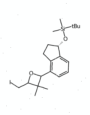 CC1(C)C(CI)OC1c1cccc2c1CC[C@@H]2O[Si](C)(C)C(C)(C)C